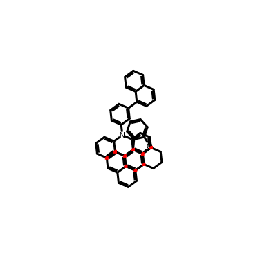 c1cc(-c2cccc3ccccc23)cc(N(c2ccccc2-c2cccc3cccc(C4CCCCC4)c23)c2ccccc2-c2cccc3oc4ccccc4c23)c1